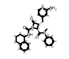 CN(C(=O)[C@@H]1[C@@H](Cc2ccnc(N)c2)C(=O)N1C(=O)NC1CCCc2ccccc21)c1ccccc1